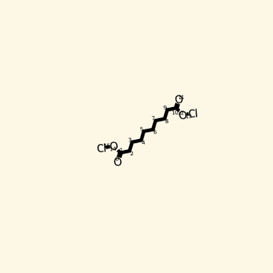 O=C(CCCCCCCCC(=O)OCl)OCl